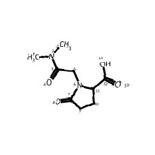 CN(C)C(=O)CN1C(=O)CCC1C(=O)O